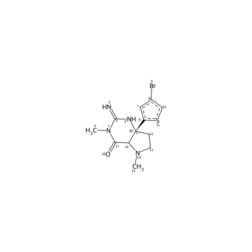 CN1C(=N)N[C@]2(c3cc(Br)cs3)CCN(C)C2C1=O